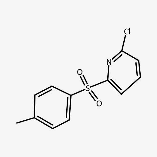 Cc1ccc(S(=O)(=O)c2cccc(Cl)n2)cc1